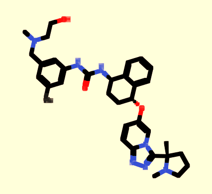 CN(CCO)Cc1cc(NC(=O)N[C@@H]2CC[C@@H](Oc3ccc4nnc([C@]5(C)CCCN5C)n4c3)c3ccccc32)cc(C(C)(C)C)c1